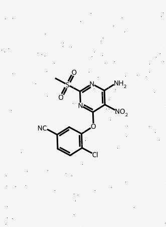 CS(=O)(=O)c1nc(N)c([N+](=O)[O-])c(Oc2cc(C#N)ccc2Cl)n1